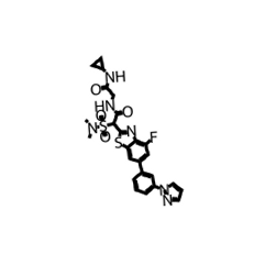 CN(C)S(=O)(=O)C(C(=O)NCC(=O)NC1CC1)c1nc2c(F)cc(-c3cccc(-n4cccn4)c3)cc2s1